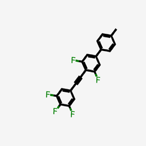 Cc1ccc(-c2cc(F)c(C#Cc3cc(F)c(F)c(F)c3)c(F)c2)cc1